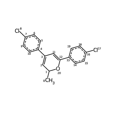 CC1C=C(c2ccc(Cl)cc2)C=C(c2ccc(Cl)cc2)O1